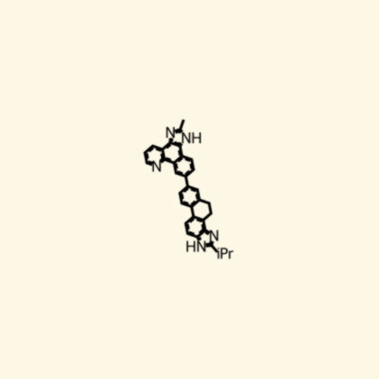 Cc1nc2c3cccnc3c3cc(-c4ccc5c(c4)CCc4c-5ccc5[nH]c(C(C)C)nc45)ccc3c2[nH]1